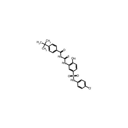 CC(C)(C)c1ccc(C(=O)NC(=S)Nc2cc(S(=O)(=O)Nc3ccc(Cl)cc3)ccc2O)cc1